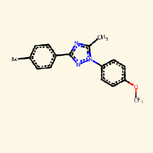 CC(=O)c1ccc(-c2nc(C)n(-c3ccc(OC(F)(F)F)cc3)n2)cc1